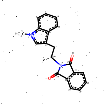 C[C@H](Cc1cn(C(=O)O)c2ccccc12)N1C(=O)c2ccccc2C1=O